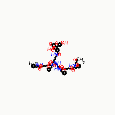 CNC(Cc1ccccc1)C(=O)OCCCCOC(=O)C(Cc1ccccc1)NC(=O)C(CCCCNC(=O)c1ccc(C2c3ccc(O)cc3OC3=CC(=O)C=CC32)c(C(=O)O)c1)NC(=O)CCC(=O)NC(Cc1ccccc1)C(=O)OCCCCOC(=O)C(Cc1ccccc1)NC(=O)CCC(C)=O